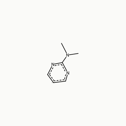 CN(C)c1nc[c]cn1